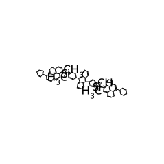 C[Si](C)(c1ccc(-c2c3ccccc3c(-c3ccc([Si](C)(C)c4cc5cccc6c(-c7ccccc7)cc7cccc4c7c56)cc3)c3ccccc23)cc1)c1ccc2c3c4c(ccc13)C=CC(c1ccccc1)C4=CC2